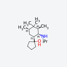 CC(C)N[C@H]1[C@@H](C2(O)CCCC2)C[C@@H](C)C(C)(C)[C@H]1C